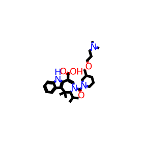 CC(C)C1N(C(=O)N2CCCC(COCCCN(C)C)C2)C=C(C(=O)O)c2[nH]c3ccccc3c2C1(C)C